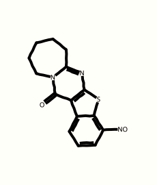 O=Nc1cccc2c1sc1nc3n(c(=O)c12)CCCCC3